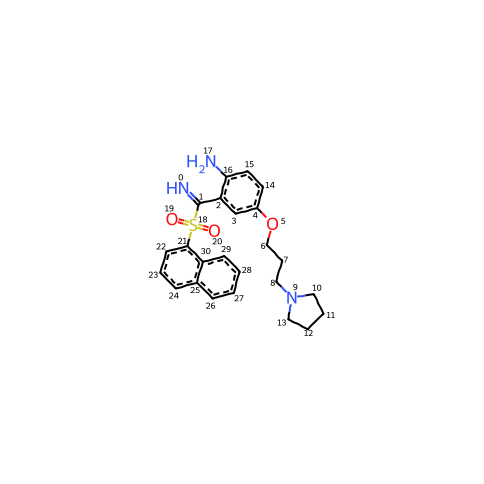 N=C(c1cc(OCCCN2CCCC2)ccc1N)S(=O)(=O)c1cccc2ccccc12